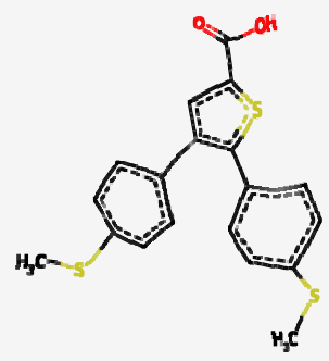 CSc1ccc(-c2cc(C(=O)O)sc2-c2ccc(SC)cc2)cc1